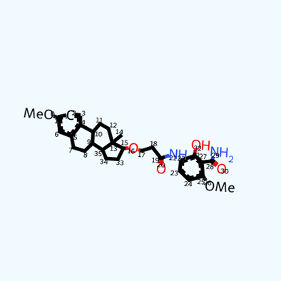 COc1ccc2c(c1)CCC1C2CCC2(C)C(OCCC(=O)Nc3ccc(OC)c(C(N)=O)c3O)CCC12